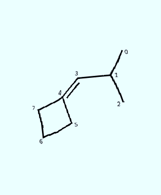 CC(C)C=C1CCC1